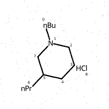 CCCCN1CCCC(CCC)C1.Cl